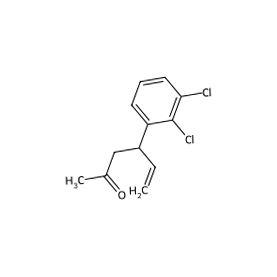 C=CC(CC(C)=O)c1cccc(Cl)c1Cl